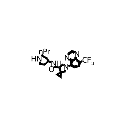 CCCC1CC(NC(=O)C2CN(c3ccc(C(F)(F)F)c4nccnc34)CC23CC3)CCN1